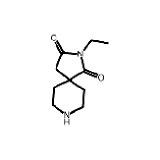 CCN1C(=O)CC2(CCNCC2)C1=O